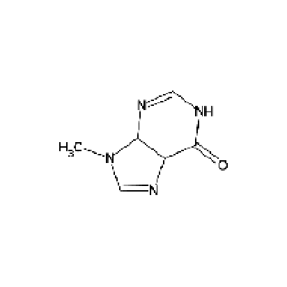 CN1C=NC2C(=O)NC=NC21